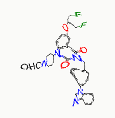 O=CN1CCC(n2c(=O)n(Cc3ccc(-n4cnc5ccccc54)cc3)c(=O)c3cc(OC(CF)CF)ccc32)CC1